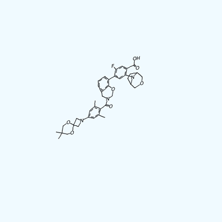 Cc1cc(N2CC3(C2)OCC(C)(C)CO3)cc(C)c1C(=O)N1COc2c(cccc2-c2cc(N3C4CCC3COC4)c(C(=O)O)cc2F)C1